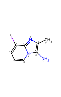 Cc1nc2c(I)cccn2c1N